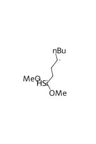 CCCC[CH]CC[SiH](OC)OC